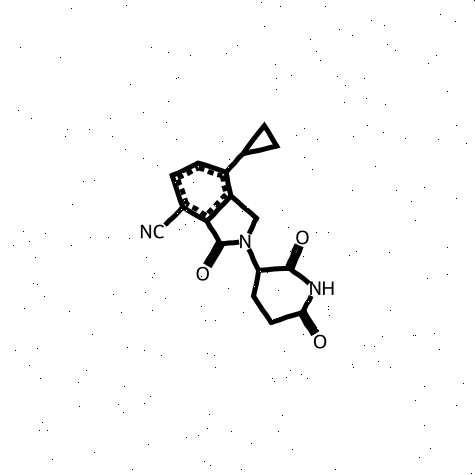 N#Cc1ccc(C2CC2)c2c1C(=O)N(C1CCC(=O)NC1=O)C2